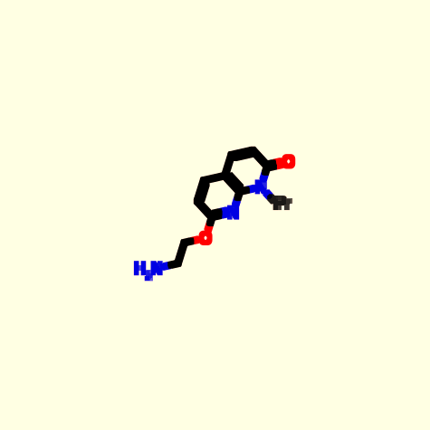 CC(C)n1c(=O)ccc2ccc(OCCN)nc21